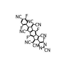 N#CC(C#N)=C1C(c2cc(F)c(C#N)cc2F)=C(C#N)c2c(F)c3c(c(F)c21)C(C#N)=C(c1cnc(C#N)nc1F)C3=C(C#N)C#N